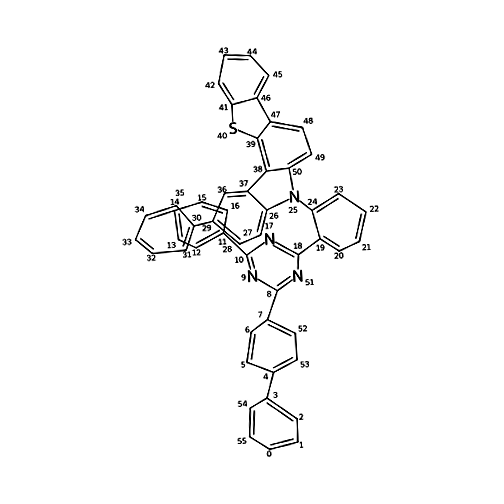 c1ccc(-c2ccc(-c3nc(-c4ccccc4)nc(-c4ccccc4-n4c5ccc(-c6ccccc6)cc5c5c6sc7ccccc7c6ccc54)n3)cc2)cc1